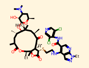 CC[C@H]1OC(=O)C(C)C[C@H](C)[C@@H](O[C@@H]2O[C@H](C)CC(N(C)C)[C@H]2O)C(C)(OC)C[C@@H](C)C(=O)[C@H](C)[C@H]2[C@H](SCCNc3c(C(=O)Nc4c(Cl)cncc4Cl)cnc4c3cnn4CC)C(=O)OC21C